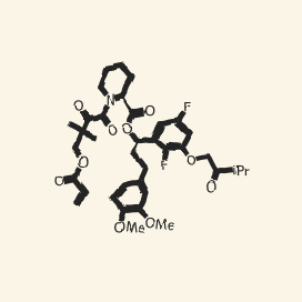 C=CC(=O)OCC(C)(C)C(=O)C(=O)N1CCCC[C@H]1C(=O)O[C@H](CCc1ccc(OC)c(OC)c1)c1cc(F)cc(OCC(=O)C(C)C)c1F